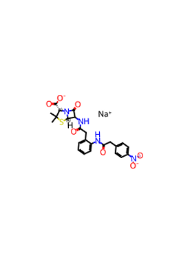 CC1(C)S[C@@H]2C(NC(=O)Cc3ccccc3NC(=O)Cc3ccc([N+](=O)[O-])cc3)C(=O)N2[C@H]1C(=O)[O-].[Na+]